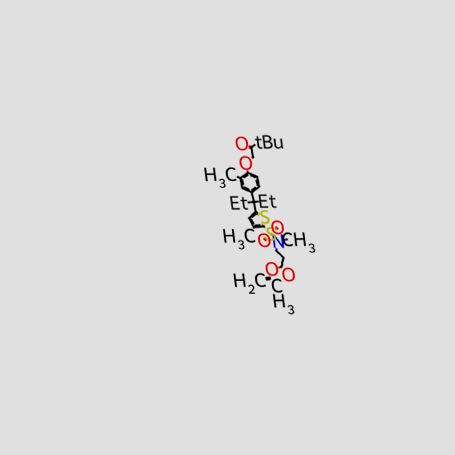 C=C(C)OC(=O)CCN(C)S(=O)(=O)c1sc(C(CC)(CC)c2ccc(OCC(=O)C(C)(C)C)c(C)c2)cc1C